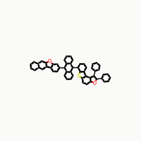 c1ccc(-c2oc3ccc4sc5c(-c6c7ccccc7c(-c7ccc8c(c7)oc7cc9ccccc9cc78)c7ccccc67)cccc5c4c3c2-c2ccccc2)cc1